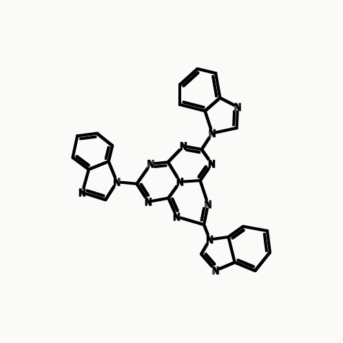 c1ccc2c(c1)ncn2C1=NC2=NC(n3cnc4ccccc43)=NC3=NC(n4cnc5ccccc54)=NC(=N1)N23